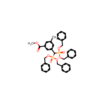 COC(=O)c1cc(C)cc(C(P(=O)(OCc2ccccc2)OCc2ccccc2)P(=O)(OCc2ccccc2)OCc2ccccc2)c1